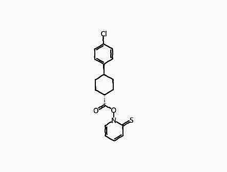 O=C(On1ccccc1=S)[C@H]1CC[C@H](c2ccc(Cl)cc2)CC1